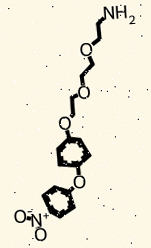 NCCOCCOCCOc1ccc(Oc2ccc([N+](=O)[O-])cc2)cc1